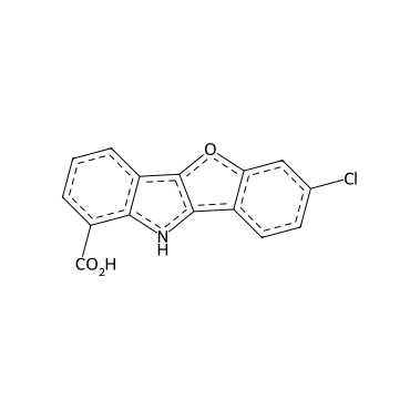 O=C(O)c1cccc2c1[nH]c1c3ccc(Cl)cc3oc21